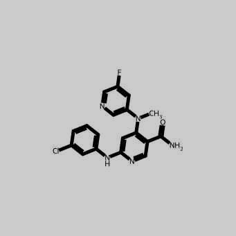 CN(c1cncc(F)c1)c1cc(Nc2cccc(Cl)c2)ncc1C(N)=O